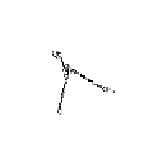 CCCCCCCCCCCCCCCOCC1OC(CCCCN2CCOCC2)OC1COCCCCCCCCCCCCCCC